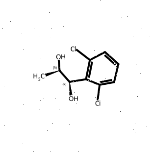 C[C@@H](O)[C@H](O)c1c(Cl)cccc1Cl